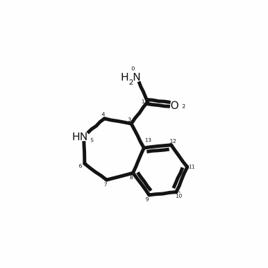 NC(=O)C1CNCCc2c[c]ccc21